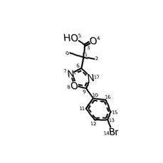 CC(C)(C(=O)O)c1noc(-c2ccc(Br)cc2)n1